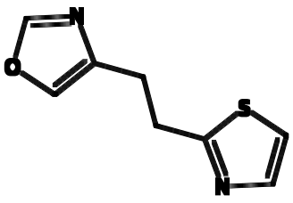 c1csc(CCc2cocn2)n1